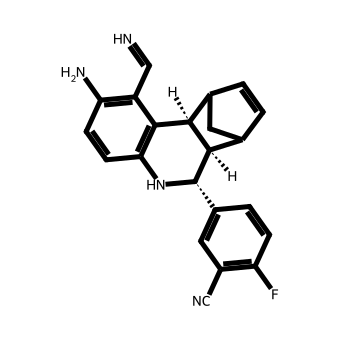 N#Cc1cc([C@@H]2Nc3ccc(N)c(C=N)c3[C@H]3C4C=CC(C4)[C@@H]23)ccc1F